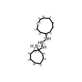 BC1(BBBC2CCCCCCCCC2)CCCCCCC1